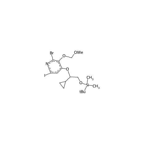 COCOc1c(OC(CO[Si](C)(C)C(C)(C)C)C2CC2)cc(I)nc1Br